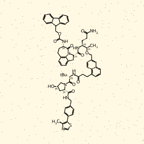 Cc1ncsc1-c1ccc(CNC(=O)[C@@H]2C[C@@H](O)CN2C(=O)[C@@H](NC(=O)CCc2cccc3cc(CO[C@H](C)[C@H](CCC(N)=O)NC(=O)[C@@H]4Cc5cccc6c5N4C(=O)[C@@H](NC(=O)OCC4c5ccccc5-c5ccccc54)CC6)ccc23)C(C)(C)C)cc1